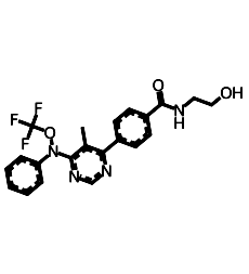 Cc1c(-c2ccc(C(=O)NCCO)cc2)ncnc1N(OC(F)(F)F)c1ccccc1